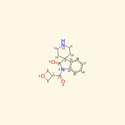 O=C(C1COC1)N1C(=O)C2(CCNCC2)c2ccccc21